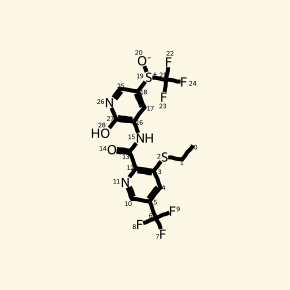 CCSc1cc(C(F)(F)F)cnc1C(=O)Nc1cc([S+]([O-])C(F)(F)F)cnc1O